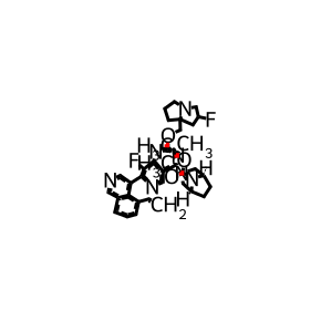 C=Cc1cccc2cncc(-c3ncc4c(N5C[C@H]6CC[C@@H](C5)N6C(=O)OC(C)(C)C)nc(OCC56CCCN5CC(F)C6)nc4c3F)c12